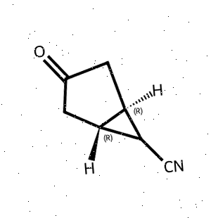 N#CC1[C@@H]2CC(=O)C[C@@H]12